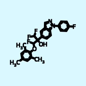 Cc1cc(C)c(OC(F)C(O)(c2ccc3c(cnn3-c3ccc(F)cc3)c2)C(F)F)c(C)c1